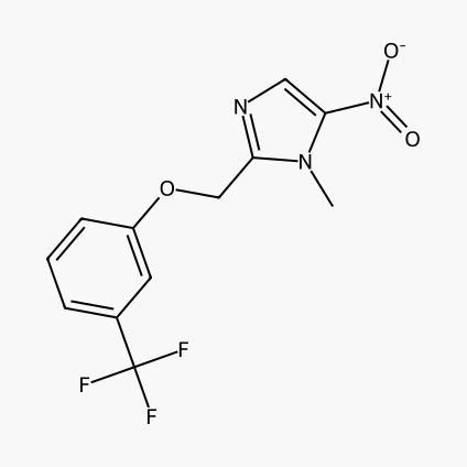 Cn1c([N+](=O)[O-])cnc1COc1cccc(C(F)(F)F)c1